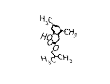 Cc1cc(C)c(CC(=O)OCC(C)C)c(O)c1